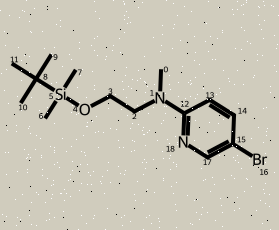 CN(CCO[Si](C)(C)C(C)(C)C)c1ccc(Br)cn1